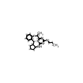 CCC=Nc1nc(NC2CCCC2Cc2ccccc2)nc(C(C)F)n1